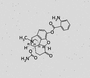 CN1CC[C@]23c4c5ccc(OC(=O)c6ccccc6N)c4O[C@H]2C(=O)CC[C@@]3(OC(N)=O)[C@H]1C5